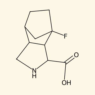 O=C(O)C1NCC2C3CCC(F)(C3)C12